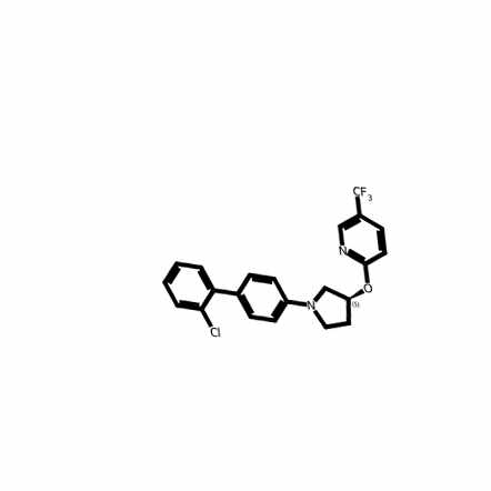 FC(F)(F)c1ccc(O[C@H]2CCN(c3ccc(-c4ccccc4Cl)cc3)C2)nc1